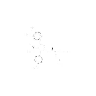 CCCCN(CCCC)C(=O)CC1CC(c2ccc(O)c(O)c2)C(C(=O)O)C1c1ccc(OC)cc1